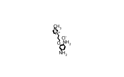 Cn1cc[n+](CCCOc2cc(N)ccc2N)c1.[Cl-]